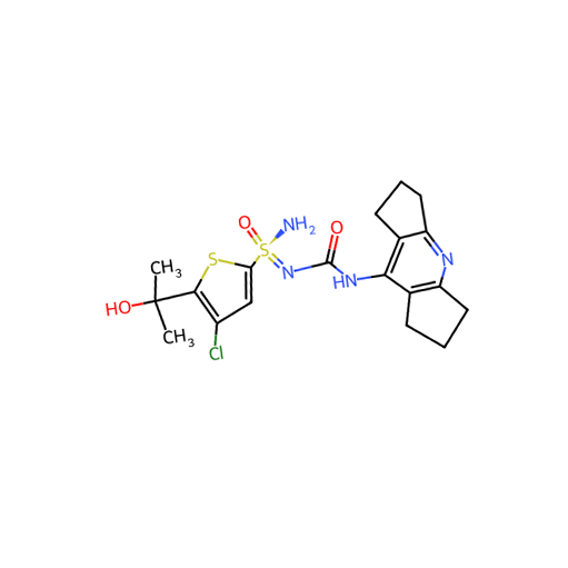 CC(C)(O)c1sc([S@](N)(=O)=NC(=O)Nc2c3c(nc4c2CCC4)CCC3)cc1Cl